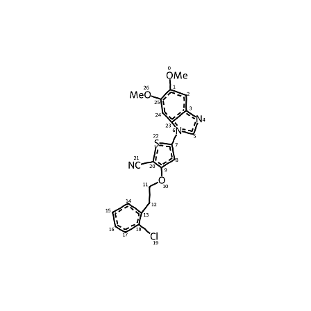 COc1cc2ncn(-c3cc(OCCc4ccccc4Cl)c(C#N)s3)c2cc1OC